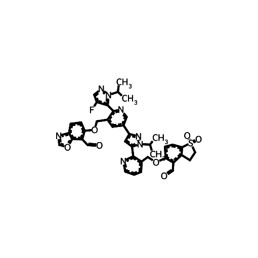 CC(C)n1nc(-c2cnc(-c3c(F)cnn3C(C)C)c(COc3ccc4ncoc4c3C=O)c2)cc1-c1ncccc1COc1ccc2c(c1C=O)CCS2(=O)=O